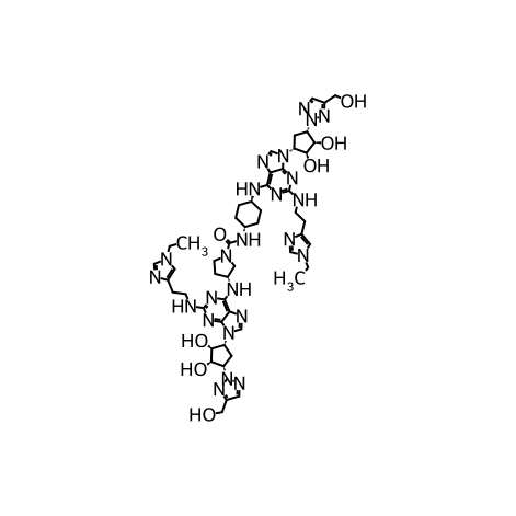 CCn1cnc(CCNc2nc(N[C@@H]3CCN(C(=O)N[C@H]4CC[C@H](Nc5nc(NCCc6cn(CC)cn6)nc6c5ncn6[C@@H]5C[C@H](n6ncc(CO)n6)[C@@H](O)[C@H]5O)CC4)C3)c3ncn([C@@H]4C[C@H](n5ncc(CO)n5)[C@@H](O)[C@H]4O)c3n2)c1